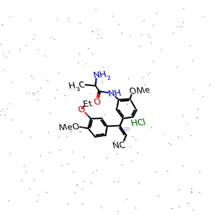 CCOc1cc(/C(=C\C#N)c2ccc(OC)c(NC(=O)C(C)N)c2)ccc1OC.Cl